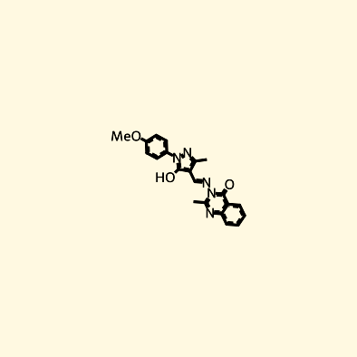 COc1ccc(-n2nc(C)c(/C=N/n3c(C)nc4ccccc4c3=O)c2O)cc1